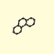 [c]1[c]c2c[c]c3ccccc3c2cc1